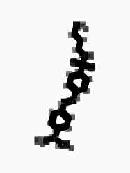 CN(C)c1ccc(N=Nc2ccc(S(=O)(=O)NCCCN)cc2)cc1